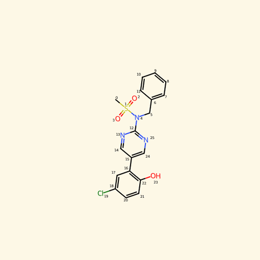 CS(=O)(=O)N(Cc1ccccc1)c1ncc(-c2cc(Cl)ccc2O)cn1